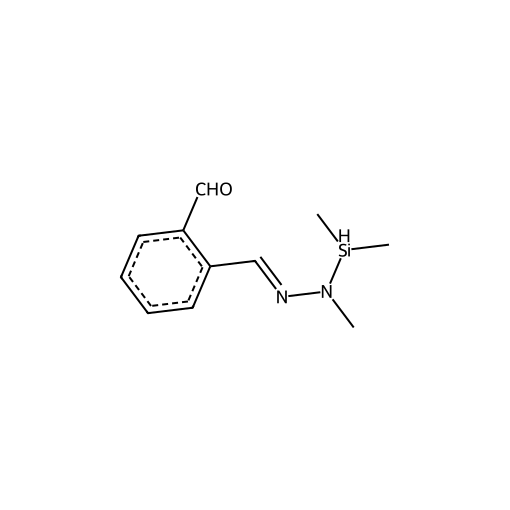 CN(N=Cc1ccccc1C=O)[SiH](C)C